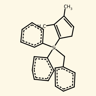 CC1=CCC([Si](Cc2ccccc2)(c2ccccc2)c2ccccc2)=C1C